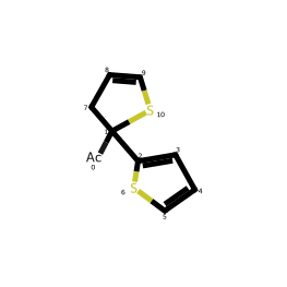 CC(=O)C1(c2cccs2)CC=CS1